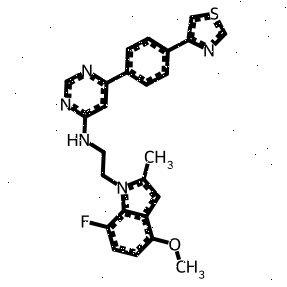 COc1ccc(F)c2c1cc(C)n2CCNc1cc(-c2ccc(-c3cscn3)cc2)ncn1